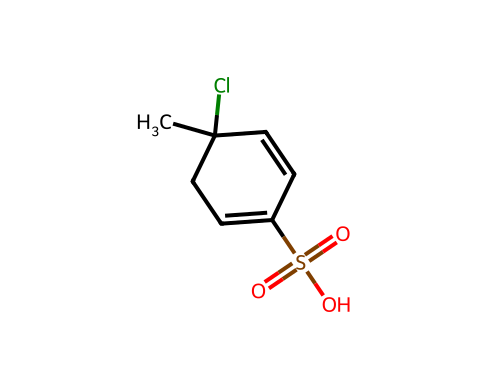 CC1(Cl)C=CC(S(=O)(=O)O)=CC1